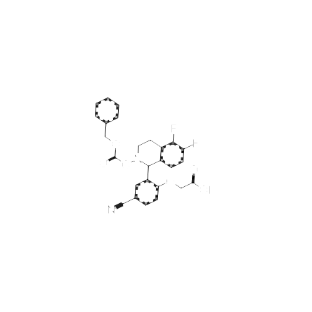 N#Cc1ccc(OCC(=O)O)c(C2c3ccc(F)c(F)c3CCN2OC(=O)OCc2ccccc2)c1